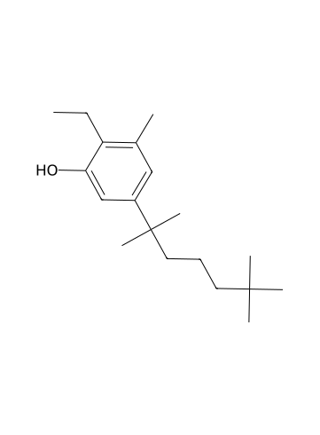 CCc1c(C)cc(C(C)(C)CCCC(C)(C)C)cc1O